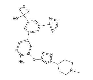 CN1CCC(n2cc(Oc3nc(-c4cc(-c5nccs5)cc(C5(O)COC5)c4)cnc3N)cn2)CC1